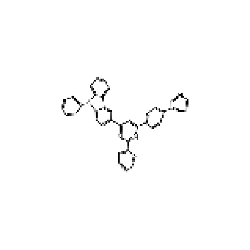 c1ccc(-c2nc(-c3ccc(-c4cccnc4)cc3)cc(-c3ccc4c(c3)c3ccccc3n4-c3ccccc3)n2)cc1